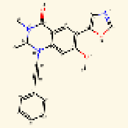 COc1cc2c(cc1-c1cnco1)C(=O)N(C)C(C)N2C#Cc1ccccc1